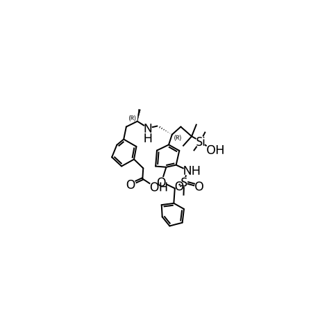 C[C@H](Cc1cccc(CC(=O)O)c1)NC[C@H](CC(C)(C)[Si](C)(C)O)c1ccc(OCc2ccccc2)c(NS(C)(=O)=O)c1